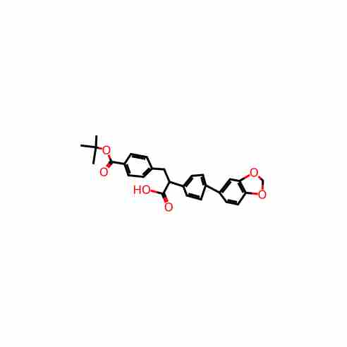 CC(C)(C)OC(=O)c1ccc(CC(C(=O)O)c2ccc(-c3ccc4c(c3)OCO4)cc2)cc1